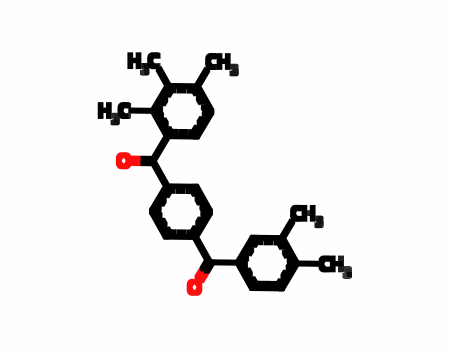 Cc1ccc(C(=O)c2ccc(C(=O)c3ccc(C)c(C)c3C)cc2)cc1C